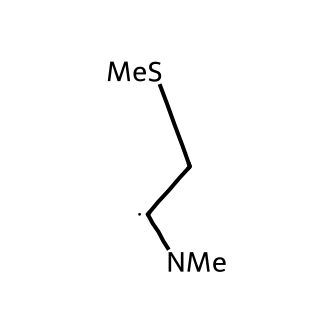 CN[CH]CSC